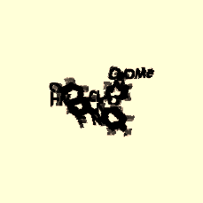 COC(=O)N1CCO[C@@H](Cn2c(-c3c(F)cc4c(c3Cl)CCC(=O)N4)nc3cc(C)ccc32)C1